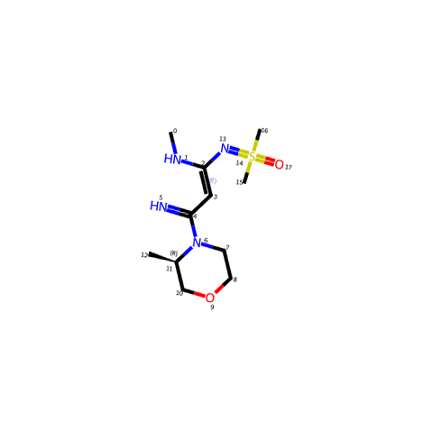 CN/C(=C\C(=N)N1CCOC[C@H]1C)N=S(C)(C)=O